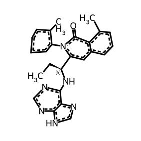 CC[C@H](Nc1ncnc2[nH]cnc12)c1cc2cccc(C)c2c(=O)n1-c1ccccc1C